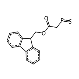 O=C(CP=S)OCC1c2ccccc2-c2ccccc21